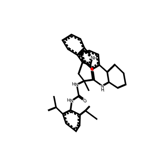 CC(C)c1cccc(C(C)C)c1NC(=O)NC(C)(Cc1c[nH]c2ccccc12)C(=O)NC1CCCCC1c1ccccc1